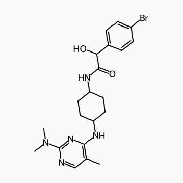 Cc1cnc(N(C)C)nc1NC1CCC(NC(=O)C(O)c2ccc(Br)cc2)CC1